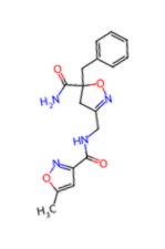 Cc1cc(C(=O)NCC2=NOC(Cc3ccccc3)(C(N)=O)C2)no1